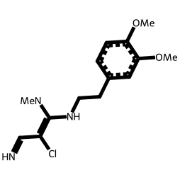 CN/C(NCCc1ccc(OC)c(OC)c1)=C(/Cl)C=N